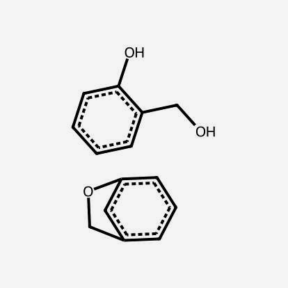 OCc1ccccc1O.c1cc2cc(c1)OC2